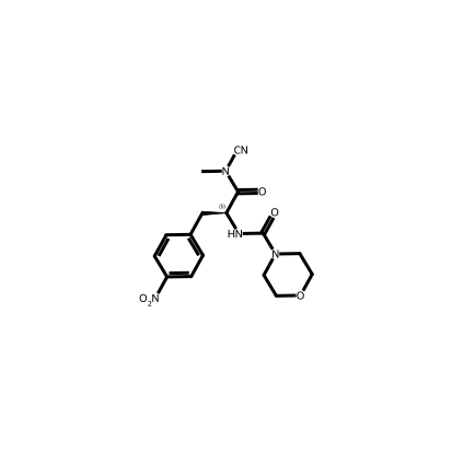 CN(C#N)C(=O)[C@H](Cc1ccc([N+](=O)[O-])cc1)NC(=O)N1CCOCC1